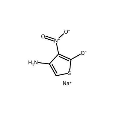 Nc1csc([O-])c1[N+](=O)[O-].[Na+]